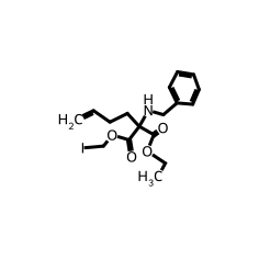 C=CCCC(NCc1ccccc1)(C(=O)OCC)C(=O)OCI